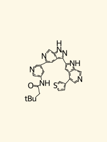 CC(C)(C)CC(=O)Nc1cncc(-c2cc3c(-c4cc5c(-c6ccsc6)cncc5[nH]4)n[nH]c3cn2)c1